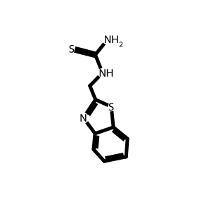 NC(=S)NCc1nc2ccccc2s1